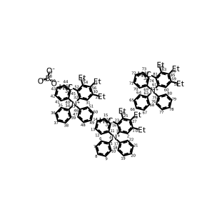 CCc1cc([N+](c2ccccc2)(c2ccccc2)c2ccccc2)c(C)c(CC)c1CC.CCc1cc([N+](c2ccccc2)(c2ccccc2)c2ccccc2)c(C)c(CC)c1CC.CCc1cc([N+](c2ccccc2)(c2ccccc2)c2ccccc2)c(C)c(CC)c1CC.[O-]B([O-])[O-]